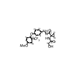 COc1ccc(Oc2ccc(CNC(=O)C3(NC(=O)CO)CC3)cc2)c(C(F)(F)F)c1